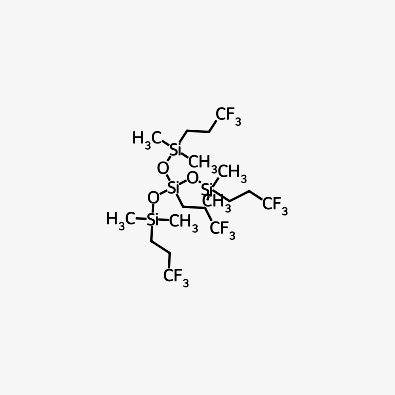 C[Si](C)(CCC(F)(F)F)O[Si](CCC(F)(F)F)(O[Si](C)(C)CCC(F)(F)F)O[Si](C)(C)CCC(F)(F)F